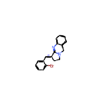 Brc1ccccc1/C=C1\CCN2Cc3ccccc3N=C12